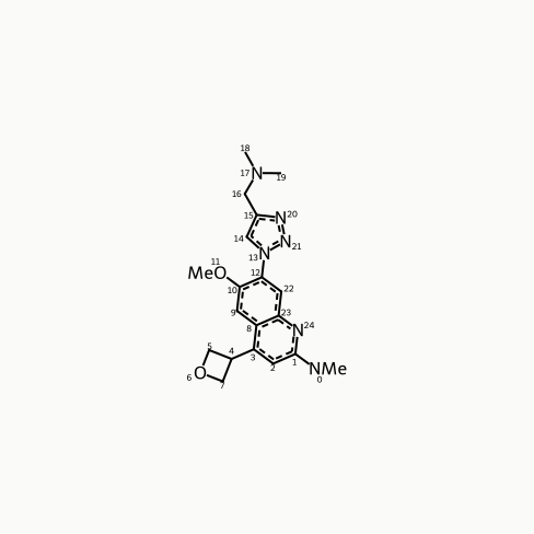 CNc1cc(C2COC2)c2cc(OC)c(-n3cc(CN(C)C)nn3)cc2n1